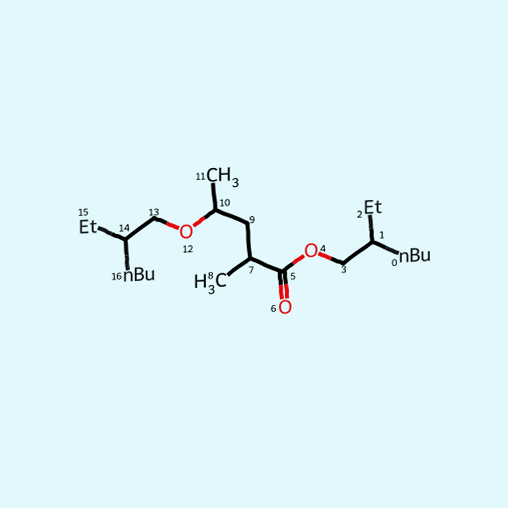 CCCCC(CC)COC(=O)C(C)CC(C)OCC(CC)CCCC